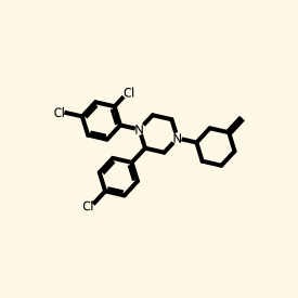 C=C1CCCC(N2CCN(c3ccc(Cl)cc3Cl)C(c3ccc(Cl)cc3)C2)C1